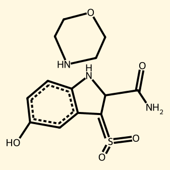 C1COCCN1.NC(=O)C1Nc2ccc(O)cc2C1=S(=O)=O